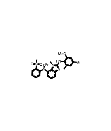 CCCN(c1ccccc1S(C)(=O)=O)c1cccc2nc(Nc3c(C)cc(Br)cc3OC)n(C)c12